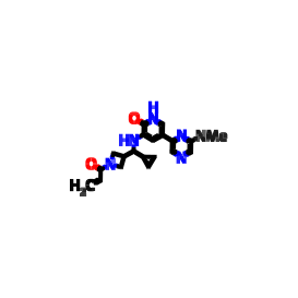 C=CC(=O)N1CC(C(Nc2cc(-c3cncc(NC)n3)c[nH]c2=O)C2CC2)C1